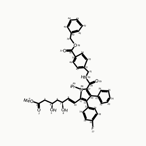 COC(=O)C[C@H](O)C[C@H](O)C=Cc1c(-c2ccc(F)cc2)c(-c2ccccc2)c(C(=O)NCc2ccc(C(=O)OCc3ccccc3)cc2)n1C(C)C